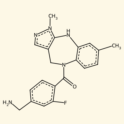 Cc1ccc2c(c1)Nc1c(cnn1C)CN2C(=O)c1ccc(CN)cc1F